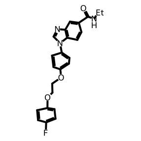 CCNC(=O)c1ccc2c(c1)ncn2-c1ccc(OCCOc2ccc(F)cc2)cc1